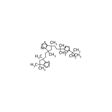 CC(C)(C)c1ccc(C(C)(C)CC[C@@]2(C)C[C@](C)(CC[C@]3(C)CC(C)(C)c4ccsc43)c3ncsc32)o1